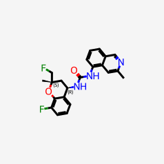 Cc1cc2c(NC(=O)N[C@@H]3C[C@@](C)(CF)Oc4c(F)cccc43)cccc2cn1